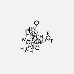 CO[C@H](C[C@H](O)[C@H](COc1cc(F)cc(F)c1)NC(=O)[C@@H]1CCC[C@H]1C(=O)N[C@@H](C)c1ccccc1)C(=O)N[C@H](C(=O)NCc1ccccc1)C(C)C